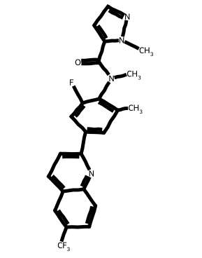 Cc1cc(-c2ccc3cc(C(F)(F)F)ccc3n2)cc(F)c1N(C)C(=O)c1ccnn1C